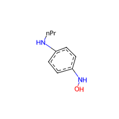 CCCNc1ccc(NO)cc1